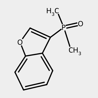 CP(C)(=O)c1coc2ccccc12